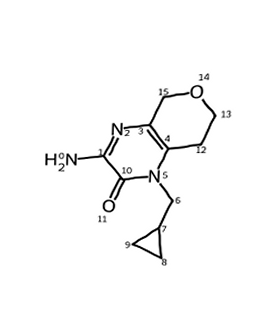 Nc1nc2c(n(CC3CC3)c1=O)CCOC2